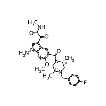 CNC(=O)C(=O)c1cn(N)c2nc(OC)c(C(=O)N3C[C@H](C)N(Cc4ccc(F)cc4)C[C@H]3C)cc12